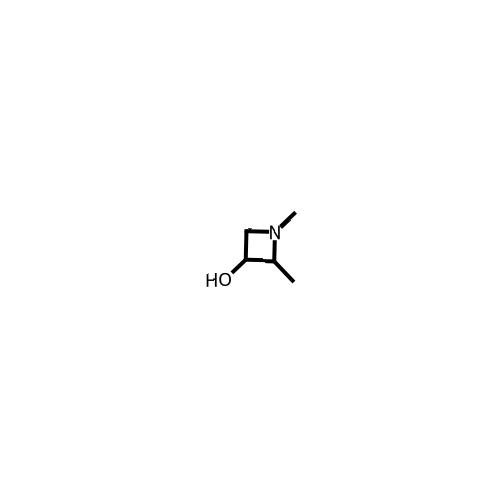 CC1C(O)CN1C